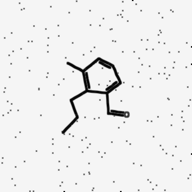 CCCc1c(C)cccc1C=O